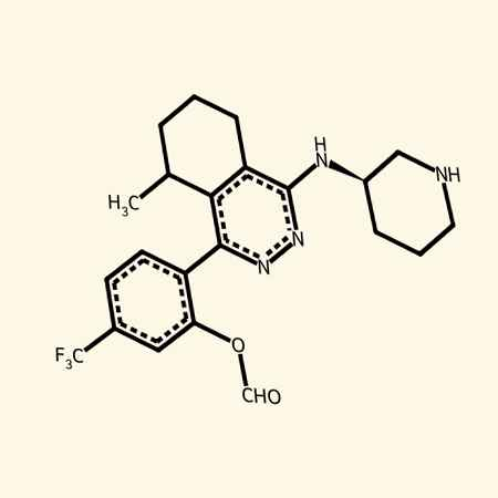 CC1CCCc2c(N[C@@H]3CCCNC3)nnc(-c3ccc(C(F)(F)F)cc3OC=O)c21